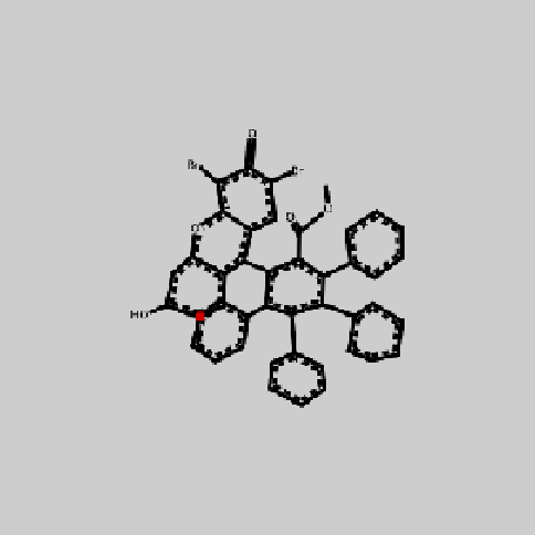 COC(=O)c1c(-c2ccccc2)c(-c2ccccc2)c(-c2ccccc2)c(-c2ccccc2)c1-c1c2cc(Br)c(=O)c(Br)c-2oc2cc(O)c(Br)cc12